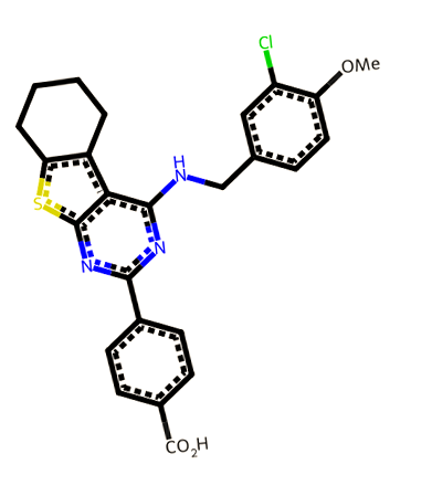 COc1ccc(CNc2nc(-c3ccc(C(=O)O)cc3)nc3sc4c(c23)CCCC4)cc1Cl